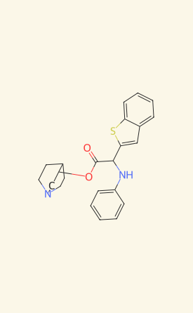 O=C(OC1CN2CCC1CC2)C(Nc1ccccc1)c1cc2ccccc2s1